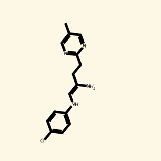 Cc1cnc(CC/C(N)=C/Nc2ccc(Cl)cc2)nc1